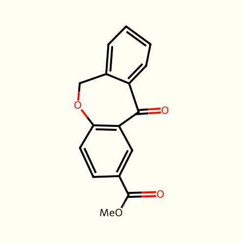 COC(=O)c1ccc2c(c1)C(=O)c1ccccc1CO2